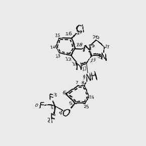 FC(F)(F)Oc1ccc(NC2=Nc3cccc(Cl)c3N3CCN=C23)cc1